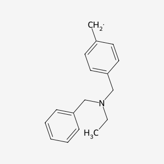 [CH2]c1ccc(CN(CC)Cc2ccccc2)cc1